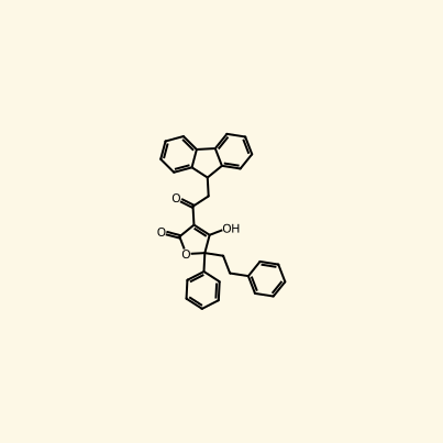 O=C(CC1c2ccccc2-c2ccccc21)C1=C(O)C(CCc2ccccc2)(c2ccccc2)OC1=O